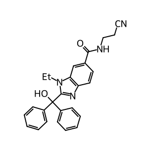 CCn1c(C(O)(c2ccccc2)c2ccccc2)nc2ccc(C(=O)NCCC#N)cc21